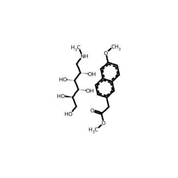 CNC[C@H](O)[C@@H](O)[C@H](O)[C@H](O)CO.COC(=O)Cc1ccc2cc(OC)ccc2c1